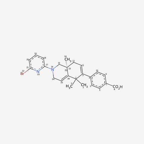 CC1(C)C(c2ccc(C(=O)O)cc2)=CC[C@]2(C)CN(c3cccc(Br)n3)CC=C12